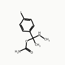 CNC(C)(OC(N)=O)c1ccc(I)cc1